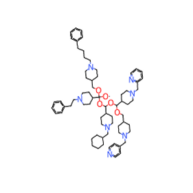 [O]C(OCC1CCN(CCCCc2ccccc2)CC1)(OC(OC(OCC1CCN(Cc2ccncc2)CC1)C1CCN(Cc2ccccn2)CC1)C1CCN(CC2CCCCC2)CC1)C1CCN(CCc2ccccc2)CC1